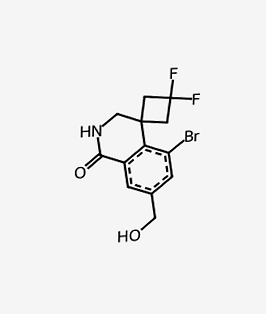 O=C1NCC2(CC(F)(F)C2)c2c(Br)cc(CO)cc21